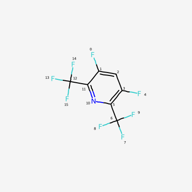 Fc1cc(F)c(C(F)(F)F)nc1C(F)(F)F